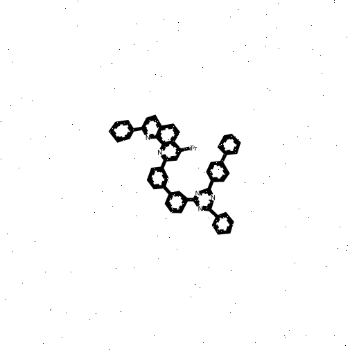 CC(C)c1cc(-c2cccc(-c3cccc(-c4nc(-c5ccccc5)nc(-c5ccc(-c6ccccc6)cc5)n4)c3)c2)nc2c1ccc1ccc(-c3ccccc3)nc12